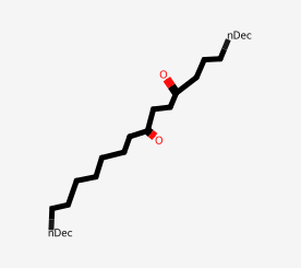 CCCCCCCCCCCCCCCCCC(=O)CCC(=O)CCCCCCCCCCCCC